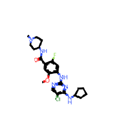 COc1cc(C(=O)NC2CCN(C)CC2)c(F)cc1Nc1ncc(Cl)c(NC2CCCC2)n1